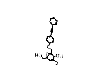 O=c1cc(CO)oc(COc2ccc(C#Cc3ccccc3)cc2)c1O